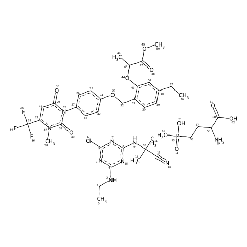 CCNc1nc(Cl)nc(NC(C)(C)C#N)n1.CCc1ccc(COc2ccc(-n3c(=O)cc(C(F)(F)F)n(C)c3=O)cc2)c(OC(C)C(=O)OC)c1.CP(=O)(O)CCC(N)C(=O)O